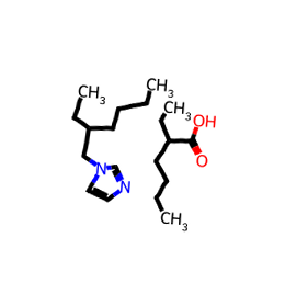 CCCCC(CC)C(=O)O.CCCCC(CC)Cn1ccnc1